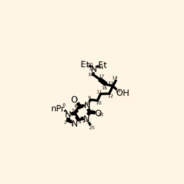 CCCn1cnc2c1c(=O)n(CCCCC(C)(O)C#CCN(CC)CC)c(=O)n2C